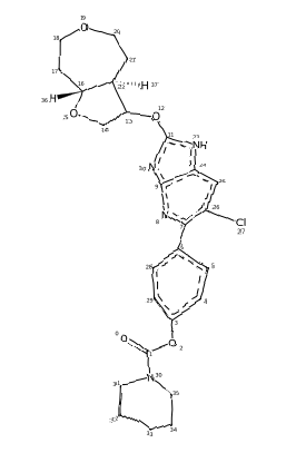 O=C(Oc1ccc(-c2nc3nc(OC4CO[C@@H]5CCOCC[C@@H]45)[nH]c3cc2Cl)cc1)N1CCCCC1